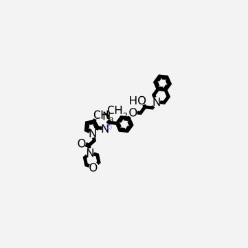 C=N/C(=N\c1c(C)ccn1CC(=O)N1CCOCC1)c1cccc(OCC(O)CN2CCc3ccccc3C2)c1